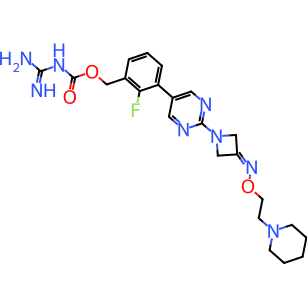 N=C(N)NC(=O)OCc1cccc(-c2cnc(N3CC(=NOCCN4CCCCC4)C3)nc2)c1F